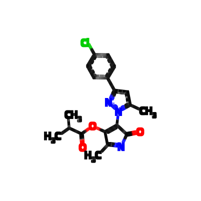 CC1=NC(=O)C(n2nc(-c3ccc(Cl)cc3)cc2C)=C1OC(=O)C(C)C